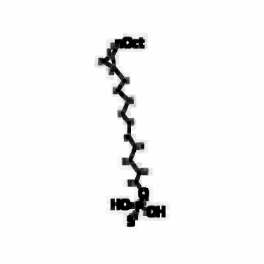 CCCCCCCCC1CC1CCCCCCCCCCOP(O)(O)=S